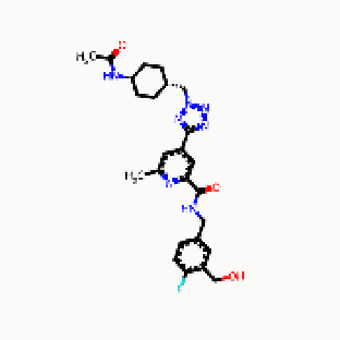 CC(=O)N[C@H]1CC[C@H](Cn2nnc(-c3cc(C)nc(C(=O)NCc4ccc(F)c(CO)c4)c3)n2)CC1